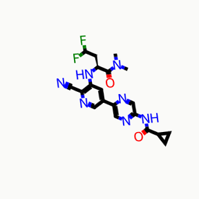 CN(C)C(=O)[C@H](CC(F)F)Nc1cc(-c2cnc(NC(=O)C3CC3)cn2)cnc1C#N